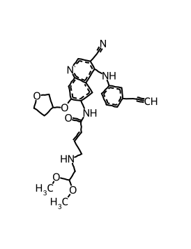 C#Cc1cccc(Nc2c(C#N)cnc3cc(OC4CCOC4)c(NC(=O)/C=C/CNCC(OC)OC)cc23)c1